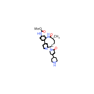 COC(=O)Nc1ccc2c(c1)NC(=O)[C@H](C)CCC[C@H](N1CCC(C3CCNCC3)=CC1=O)c1cc-2ccn1